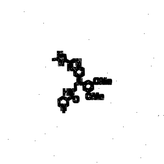 COc1cc(OC)cc(N(CCNC(=O)C2CCCN(C)C2)c2ccc3ncc(C4=NC(C)N=C4)nc3c2)c1